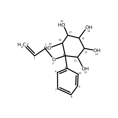 C=CCOC1(c2ccccc2)C(O)C(O)C(O)C(O)C1O